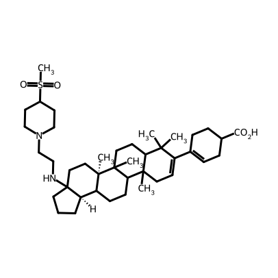 CC1(C)C(C2=CCC(C(=O)O)CC2)=CCC2(C)C1CCC1(C)C2CCC2[C@H]3CCCC3(NCCN3CCC(S(C)(=O)=O)CC3)CC[C@]21C